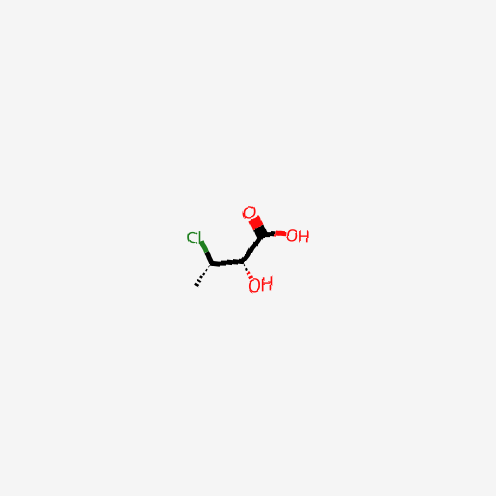 C[C@H](Cl)[C@@H](O)C(=O)O